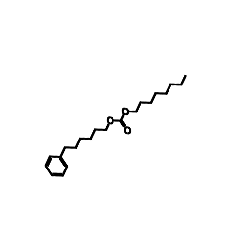 CCCCCCCCOC(=O)OCCCCCCc1ccccc1